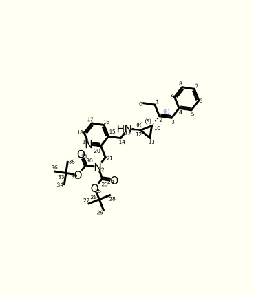 CC/C(=C\c1ccccc1)[C@@H]1C[C@H]1NCc1cccnc1CN(C(=O)OC(C)(C)C)C(=O)OC(C)(C)C